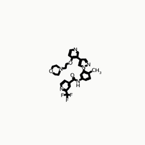 Cc1ccc(NC(=O)c2ccnc(C(F)(F)F)c2)cc1-n1cc(-c2cnccc2OCCN2CCOCC2)cn1